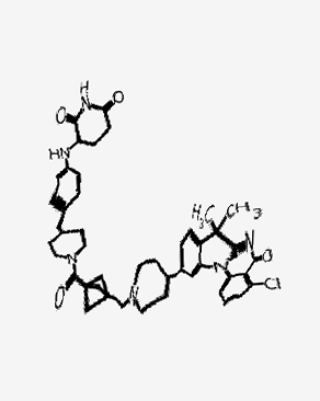 CC1(C)c2ccc(C3CCN(CC45CC(C(=O)N6CCC(c7ccc(NC8CCC(=O)NC8=O)cc7)CC6)(C4)C5)CC3)cc2-n2c1nc(=O)c1c(Cl)cccc12